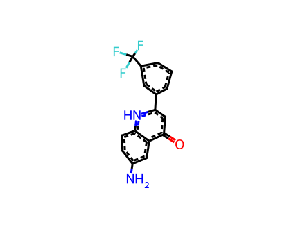 Nc1ccc2[nH]c(-c3cccc(C(F)(F)F)c3)cc(=O)c2c1